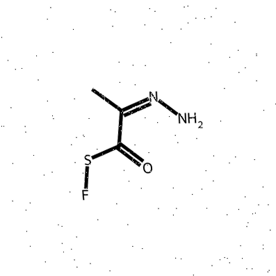 CC(=NN)C(=O)SF